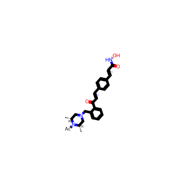 CC(=O)N1[C@H](C)CN(Cc2ccccc2C(=O)/C=C/c2ccc(/C=C/C(=O)NO)cc2)C[C@@H]1C